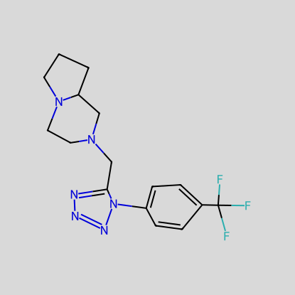 FC(F)(F)c1ccc(-n2nnnc2CN2CCN3CCCC3C2)cc1